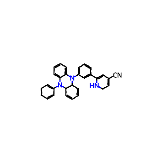 N#CC1=CCNC(c2cccc(N3c4ccccc4N(C4=CCCC=C4)C4C=CC=CC43)c2)=C1